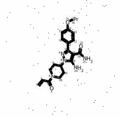 C=CC(=O)N1CCC(n2nc(-c3ccc(OC(C)C)cc3)c(C(N)=O)c2N)CC1